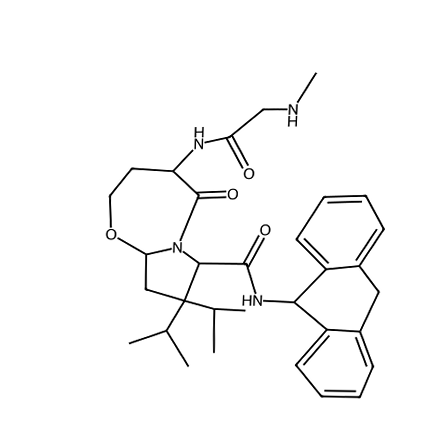 CNCC(=O)NC1CCOC2CC(C(C)C)(C(C)C)C(C(=O)NC3c4ccccc4Cc4ccccc43)N2C1=O